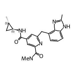 CNC(=O)c1cc(C(=O)N[C@H]2C[C@@H]2C)cc(Cc2cccc3[nH]c(C)nc23)n1